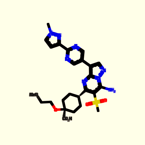 COCCO[C@]1(C(=O)O)CC[C@H](c2nc3c(-c4cnc(-c5ccn(C)n5)nc4)cnn3c(N)c2S(C)(=O)=O)CC1